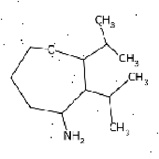 CC(C)C1CCCCC(N)C1C(C)C